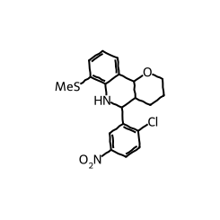 CSc1cccc2c1NC(c1cc([N+](=O)[O-])ccc1Cl)C1CCCOC21